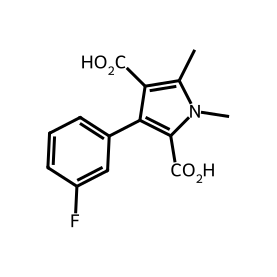 Cc1c(C(=O)O)c(-c2cccc(F)c2)c(C(=O)O)n1C